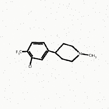 CN1CCC(c2ccc(C(F)(F)F)c(Cl)c2)CC1